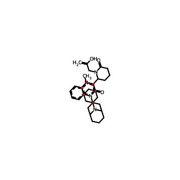 C=C(O)CN1C(=O)CCCC1c1nc2ccccc2n(C2CC3CCCC(C2)N3C2CC3CC(C)CC(C3)C2)c1=O